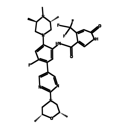 C[C@@H]1CN(c2ncc(-c3cc(NC(=O)c4c[nH]c(=O)cc4C(F)(F)F)c(N4C[C@@H](C)N(C)[C@H](C)C4)cc3F)cn2)C[C@H](C)O1